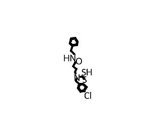 O=C(CCCN(Cc1ccc(Cl)cc1)C(=S)S)NCCc1ccccc1